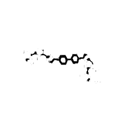 CCCN(Cc1ncc(-c2ccc(-c3ccc(-c4cnc([C@H](CO)NC(=O)[C@@H](NC(=O)OC)C(C)C)[nH]4)cc3)cc2)[nH]1)C(=O)[C@@H](NC(=O)OC)C(C)C